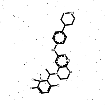 CC(C1C(Cl)=CC=C(F)[C@@]1(C)Cl)N1CCNc2nnc(Nc3ccc(C4CCNCC4)cc3)cc21